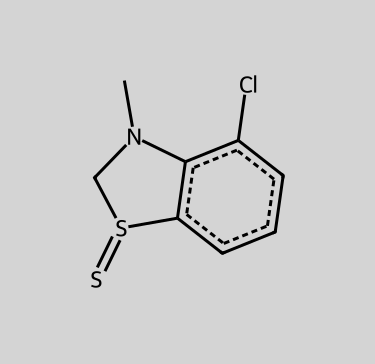 CN1CS(=S)c2cccc(Cl)c21